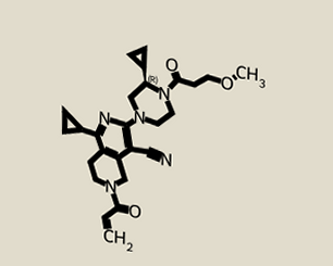 C=CC(=O)N1CCc2c(C3CC3)nc(N3CCN(C(=O)CCOC)[C@H](C4CC4)C3)c(C#N)c2C1